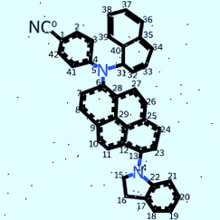 N#Cc1ccc(N(c2ccc3ccc4c(N5CCc6ccccc65)ccc5ccc2c3c54)C2C=CC=C3C=CC=CC32)cc1